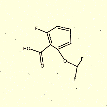 O=C(O)c1c(F)cccc1OC(F)F